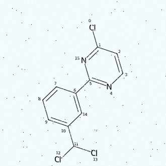 Clc1ccnc(-c2cccc(C(Cl)Cl)c2)n1